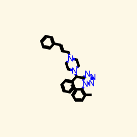 Cc1cccc(C)c1-n1nnnc1C(c1ccccc1)N1CCN(C/C=C/c2ccccc2)CC1